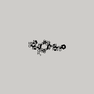 C[C@@H]1[C@@H]2OP(=O)(S)OC[C@H]3O[C@@H](n4cnc5c(NC(=O)c6ccccc6)ncnc54)[C@H](F)[C@@H]3OP(=O)(S)OC[C@H]2O[C@H]1n1cnc2c(=O)[nH]c3nccn3c21